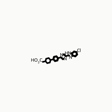 O=C(O)CC1CCC(c2ccc(-c3cnc(-c4nc5ccc(Cl)cc5[nH]4)cn3)cc2)CC1